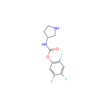 O=C(NC1CCNC1)Oc1cc(F)c(F)cc1F